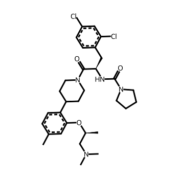 Cc1ccc(C2CCN(C(=O)[C@@H](Cc3ccc(Cl)cc3Cl)NC(=O)N3CCCC3)CC2)c(O[C@@H](C)CN(C)C)c1